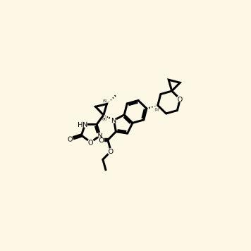 CCOC(=O)c1cc2cc([C@H]3CCOC4(CC4)C3)ccc2n1[C@]1(c2noc(=O)[nH]2)C[C@@H]1C